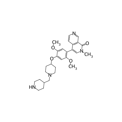 COc1cc(-c2cn(C)c(=O)c3cnccc23)c(OC)cc1OC1CCN(CC2CCNCC2)CC1